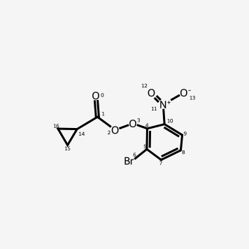 O=C(OOc1c(Br)cccc1[N+](=O)[O-])C1CC1